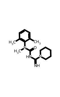 Cc1cccc(C)c1N(C)C(=O)NC(=N)N1CCCCC1